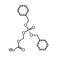 CC(C)(C)C(=O)OCOP(=O)(OCc1ccccc1)OCc1ccccc1